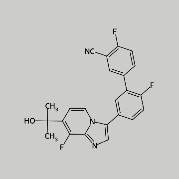 CC(C)(O)c1ccn2c(-c3ccc(F)c(-c4ccc(F)c(C#N)c4)c3)cnc2c1F